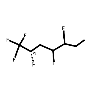 [CH2]CC(F)C(F)C[C@H](F)C(F)(F)F